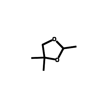 C[C]1OCC(C)(C)O1